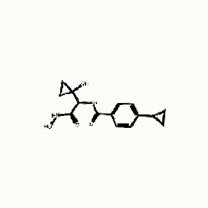 O=C(NC(C(=O)NO)C1(O)CC1)c1ccc(C2CC2)cc1